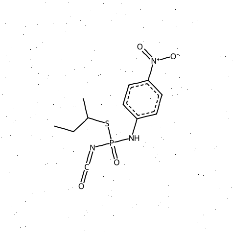 CCC(C)SP(=O)(N=C=O)Nc1ccc([N+](=O)[O-])cc1